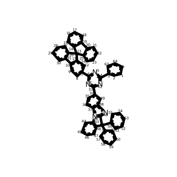 c1ccc(-c2nc(-c3ccc4c(c3)C3(c5ccccc5-c5ccccc53)c3ccccc3-4)nc(-c3ccc4c(c3)nc3n4-c4ccccc4C3(c3ccccc3)c3ccccc3)n2)cc1